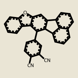 N#Cc1ccc(-c2c3c(cc4oc5ccccc5c24)-c2cccc4cccc-3c24)cc1C#N